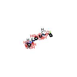 C/C(=C\c1ccc(O[C@H]2O[C@@H](/C(C)=C/COC(=O)c3ccccc3F)[C@@H](O)[C@@H]2O)c(O)c1)C(=O)N[C@@H]1[C@H](O)[C@@H](O)[C@H]2OCO[C@H]2[C@@H]1O